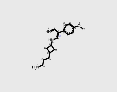 COc1ccc(/C(C=N)=C/NC2CC(CCCN)C2)nc1